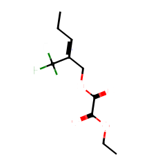 CC/C=C(/COC(=O)C(=O)OCC)C(F)(F)F